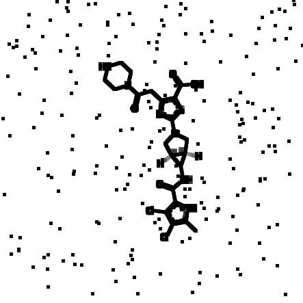 Cc1[nH]c(C(=O)NC2[C@H]3CN(c4nc(CC(=O)N5CCNCC5)c(C(=O)O)s4)C[C@@H]23)c(Cl)c1Cl